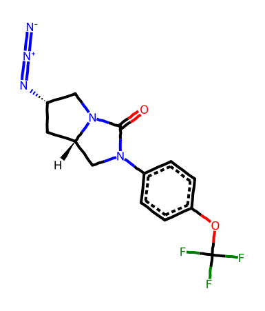 [N-]=[N+]=N[C@H]1C[C@H]2CN(c3ccc(OC(F)(F)F)cc3)C(=O)N2C1